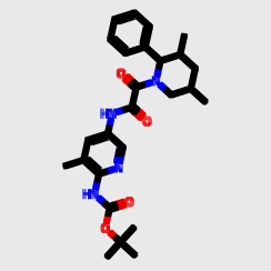 Cc1cc(NC(=O)C(=O)N2CC(C)CC(C)C2c2ccccc2)cnc1NC(=O)OC(C)(C)C